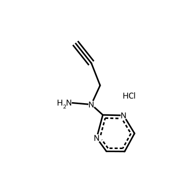 C#CCN(N)c1ncccn1.Cl